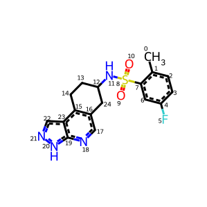 Cc1ccc(F)cc1S(=O)(=O)NC1CCc2c(cnc3[nH]ncc23)C1